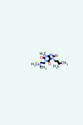 CC(C)=CCn1c(Br)nc2c1c(=O)n(CCN(C)C)c(=O)n2C